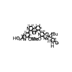 COc1nc(-c2cccc(-c3ccnc(-c4cc(OC)c5nc(CO)cn5c4)c3Cl)c2Cl)ccc1CN(C[C@@H]1CCC(=O)N1)C(=O)OC(C)(C)C